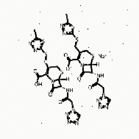 Cc1nnc(SCC2=C(C(=O)O)N3C(=O)[C@@H](NC(=O)Cn4cnnn4)[C@H]3SC2)s1.Cc1nnc(SCC2=C(C(=O)[O-])N3C(=O)[C@@H](NC(=O)Cn4cnnn4)[C@H]3SC2)s1.[Na+]